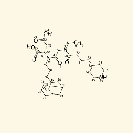 CCN(CC(=O)N(CCCC12CC3CC(CC(C3)C1)C2)[C@@H](CC(=O)O)C(=O)O)C(=O)CCCC1CCNCC1